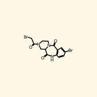 O=C1Nc2ccc(Br)cc2C(=O)N2CCN(C(=O)CBr)CC12